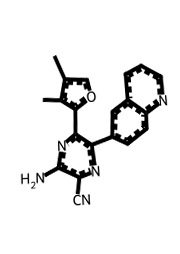 Cc1coc(-c2nc(N)c(C#N)nc2-c2ccc3ncccc3c2)c1C